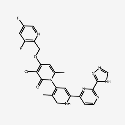 CC1=C(n2c(C)cc(OCc3ncc(F)cc3F)c(Cl)c2=O)C=C(c2ccnc(-c3nnc[nH]3)n2)NC1